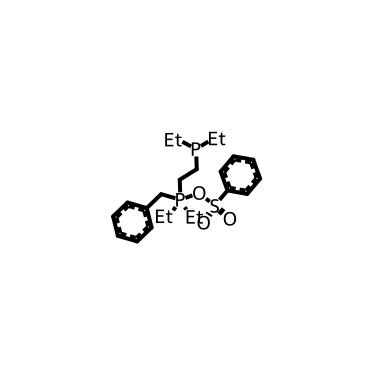 CCP(CC)CCP(CC)(CC)(Cc1ccccc1)OS(=O)(=O)c1ccccc1